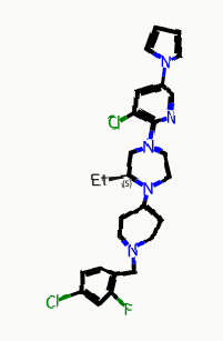 CC[C@H]1CN(c2ncc(-n3cccc3)cc2Cl)CCN1C1CCN(Cc2ccc(Cl)cc2F)CC1